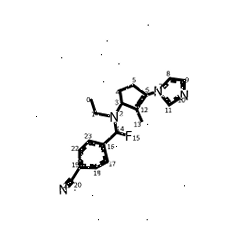 CCN(C1CCC(n2ccnc2)=C1C)C(F)c1ccc(C#N)cc1